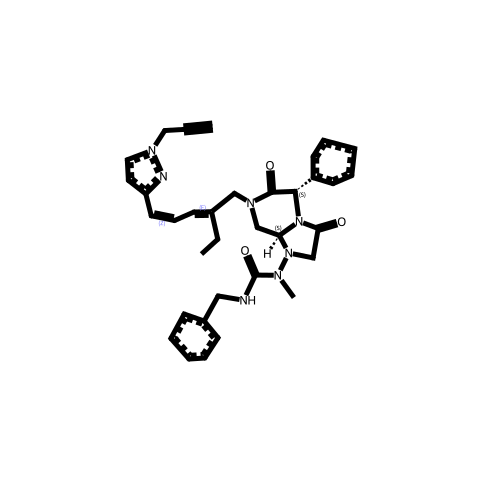 C#CCn1ccc(/C=C\C=C(/CC)CN2C[C@H]3N(C(=O)CN3N(C)C(=O)NCc3ccccc3)[C@@H](c3ccccc3)C2=O)n1